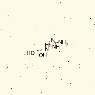 Nc1ncc(NCC(O)CO)[nH]1